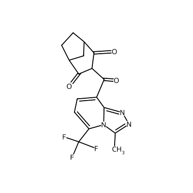 Cc1nnc2c(C(=O)C3C(=O)C4CCC(C4)C3=O)ccc(C(F)(F)F)n12